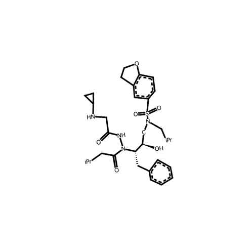 CC(C)CC(=O)N(NC(=O)CNC1CC1)[C@@H](Cc1ccccc1)[C@H](O)CN(CC(C)C)S(=O)(=O)c1ccc2c(c1)CCO2